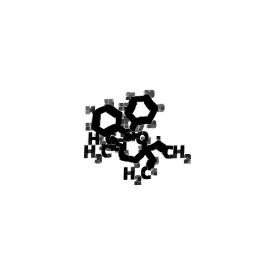 C=CC1(C=C)CC[Si](C)(C)[Si](c2ccccc2)(c2ccccc2)O1